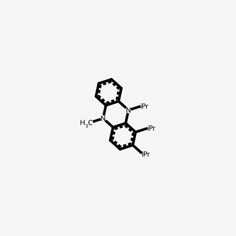 CC(C)c1ccc2c(c1C(C)C)N(C(C)C)c1ccccc1N2C